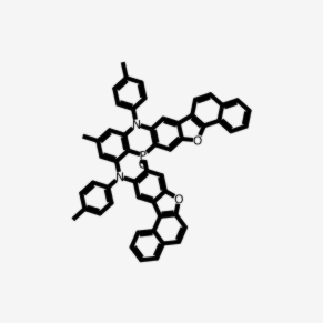 Cc1ccc(N2c3cc4c(cc3P3(=O)c5cc6oc7ccc8ccccc8c7c6cc5N(c5ccc(C)cc5)c5cc(C)cc2c53)oc2c3ccccc3ccc42)cc1